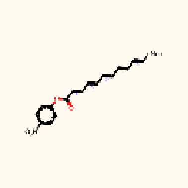 CCCCCCCCC/C=C/C=C/C=C/C=C/C=C/C(=O)Oc1ccc([N+](=O)[O-])cc1